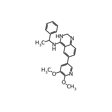 COc1cc(-c2ccc3c(c2)=C(NC(C)c2ccccc2)NCN=3)cnc1OC